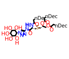 CCCCCCCCCCCC(=O)N[C@H](CSC[C@@H](COC(=O)CCCCCCCCCCC)OC(=O)CCCCCCCCCCC)C(=O)Nc1cn([C@@H]2[C@H](O)[C@H](O)[C@@H](O)[C@H](O)[C@H]2O)nn1